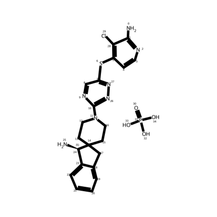 Nc1nccc(Sc2cnc(N3CCC4(CC3)Cc3ccccc3[C@H]4N)nn2)c1Cl.O=P(O)(O)O